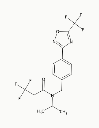 CC(C)N(Cc1ccc(-c2noc(C(F)(F)F)n2)cc1)C(=O)CC(F)(F)F